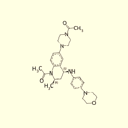 CC(=O)N1CCN(c2ccc3c(c2)[C@@H](Nc2ccc(N4CCOCC4)cc2)C[C@@H](C)N3C(C)=O)CC1